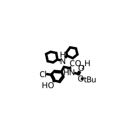 C1CCC(NC2CCCCC2)CC1.CC(C)(C)OC(=O)N[C@@H](Cc1ccc(O)c(Cl)c1)C(=O)O